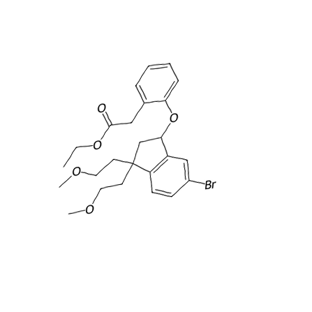 CCOC(=O)Cc1ccccc1OC1CC(CCOC)(CCOC)c2ccc(Br)cc21